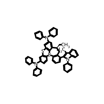 CC[C@H]1Cc2c(cccc2-c2c(C)c3ccccc3n2-c2ccccc2)B2c3ccc(N(c4ccccc4)c4ccccc4)cc3Sc3cc(N(c4ccccc4)c4ccccc4)cc1c32